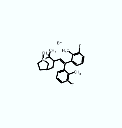 Cc1c(F)cccc1C(=CC1CC2CC[N+](C)(C2)C1C)c1cccc(F)c1C.[Br-]